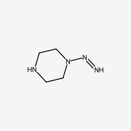 N=NN1CCNCC1